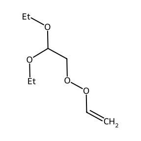 C=COOCC(OCC)OCC